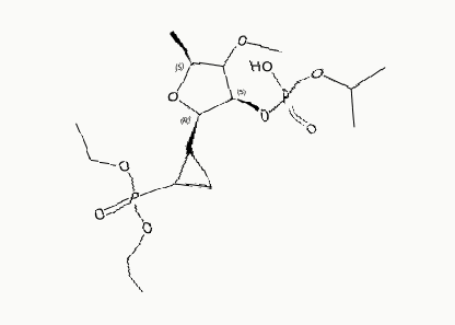 CCOP(=O)(OCC)C1CC1[C@H]1O[C@@H](C)C(OC)[C@H]1OP(=O)(O)OC(C)C